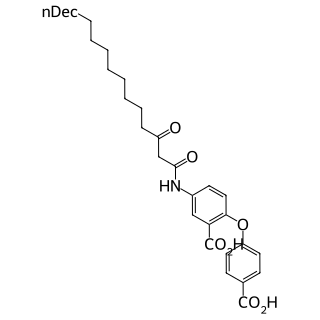 CCCCCCCCCCCCCCCCCCC(=O)CC(=O)Nc1ccc(Oc2ccc(C(=O)O)cc2)c(C(=O)O)c1